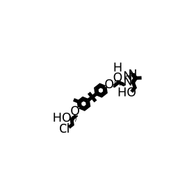 Cc1cc(C(C)(C)c2ccc(OC[C@@H](O)Cn3nnc(C)c3CO)cc2)ccc1OC[C@H](O)CCl